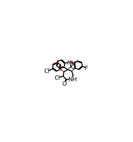 Cc1ccc(F)cc1[C@H]1CNC(=O)C(Cl)[C@@H](c2cccc(Cl)c2)[C@@]12C(=O)Nc1ccccc12